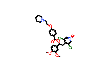 COc1ccc(C(Cc2c(Cl)c[n+]([O-])cc2Cl)OC(=O)c2ccc(OCCN3CCCCC3)cc2)cc1OC